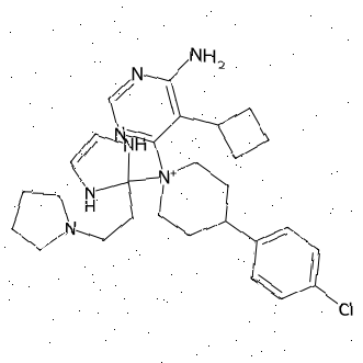 Nc1ncnc([N+]2(C3(CCN4CCCC4)NC=CN3)CCC(c3ccc(Cl)cc3)CC2)c1C1CCC1